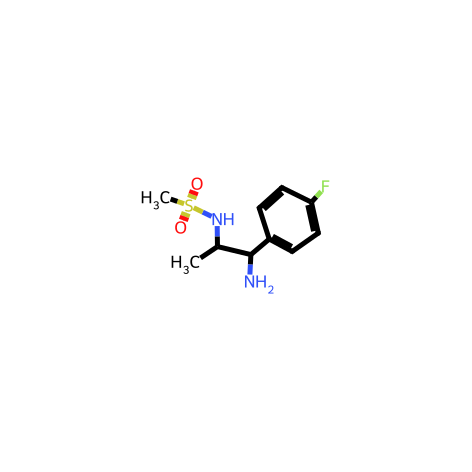 CC(NS(C)(=O)=O)C(N)c1ccc(F)cc1